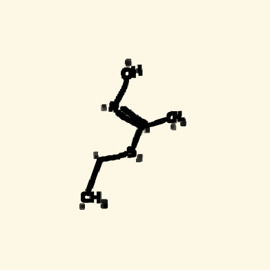 CCSC(C)=NO